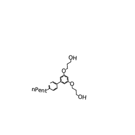 C=C(/C=C\C(=C/C)c1cc(OCCCO)cc(OCCCO)c1)CCCCC